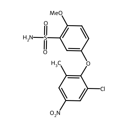 COc1ccc(Oc2c(C)cc([N+](=O)[O-])cc2Cl)cc1S(N)(=O)=O